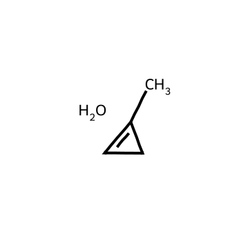 CC1=CC1.O